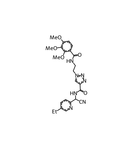 CCc1ccc(C(C#N)NC(=O)c2cn(CCNC(=O)c3ccc(OC)c(OC)c3OC)nn2)nc1